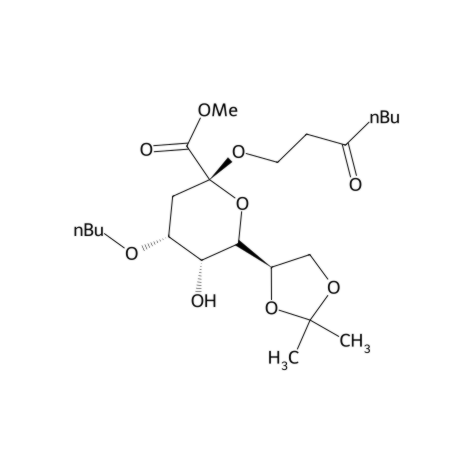 CCCCO[C@@H]1C[C@](OCCC(=O)CCCC)(C(=O)OC)OC([C@H]2COC(C)(C)O2)[C@@H]1O